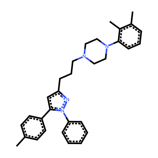 Cc1ccc(-c2cc(CCCN3CCN(c4cccc(C)c4C)CC3)nn2-c2ccccc2)cc1